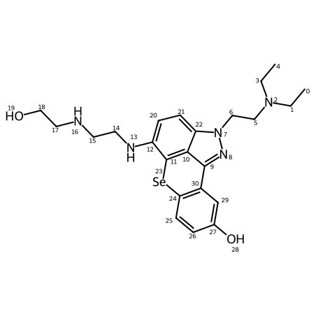 CCN(CC)CCn1nc2c3c(c(NCCNCCO)ccc31)[Se]c1ccc(O)cc1-2